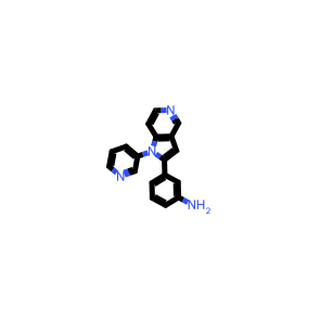 Nc1cccc(-c2cc3cnccc3n2-c2cccnc2)c1